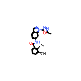 Cc1nnc(-n2ncc3ccc(NC(=O)c4cccc(C#N)c4C(C)C)cc32)o1